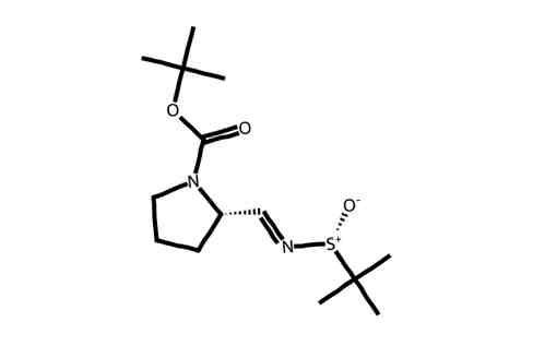 CC(C)(C)OC(=O)N1CCC[C@H]1/C=N/[S@+]([O-])C(C)(C)C